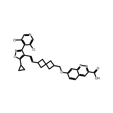 O=C(O)c1cc2ccc(OCC3CC4(CC(C=Cc5c(-c6c(Cl)cncc6Cl)noc5C5CC5)C4)C3)cc2nn1